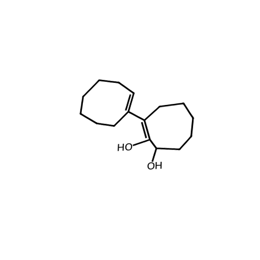 OC1=C(C2=CCCCCCC2)CCCCCC1O